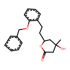 CC1(O)CC(=O)OC(CCc2ccccc2OCc2ccccc2)C1